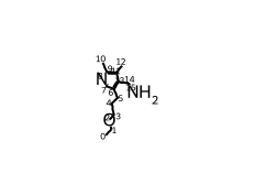 CCOCCCc1cnc(C)c(C)c1CN